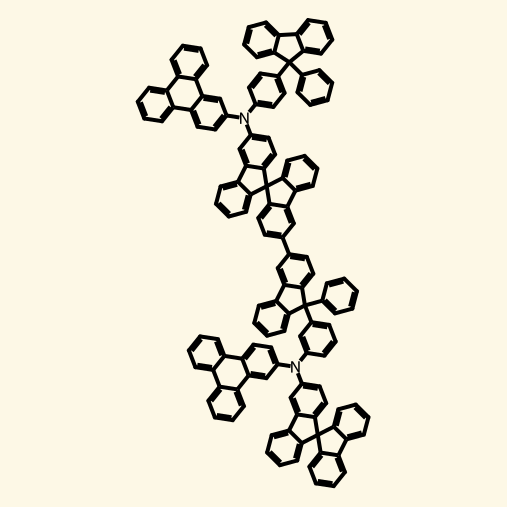 c1ccc(C2(c3ccc(N(c4ccc5c(c4)-c4ccccc4C54c5ccccc5-c5cc(-c6ccc7c(c6)-c6ccccc6C7(c6ccccc6)c6cccc(N(c7ccc8c(c7)-c7ccccc7C87c8ccccc8-c8ccccc87)c7ccc8c9ccccc9c9ccccc9c8c7)c6)ccc54)c4ccc5c6ccccc6c6ccccc6c5c4)cc3)c3ccccc3-c3ccccc32)cc1